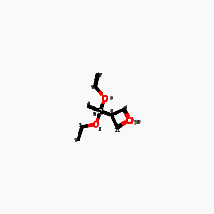 CCO[Si](C)(OCC)C1COC1